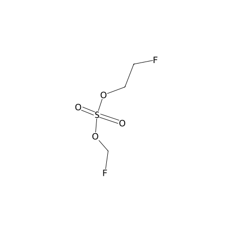 O=S(=O)(OCF)OCCF